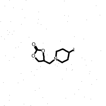 O=C1OCC(CN2CCC(I)CC2)O1